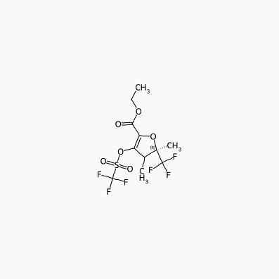 CCOC(=O)C1=C(OS(=O)(=O)C(F)(F)F)C(C)[C@](C)(C(F)(F)F)O1